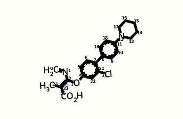 C=N/C(Oc1ccc(-c2ccc(N3CCCCC3)cc2)c(Cl)c1)=C(\C)C(=O)O